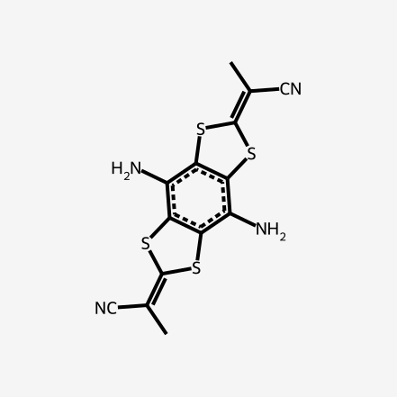 CC(C#N)=C1Sc2c(N)c3c(c(N)c2S1)SC(=C(C)C#N)S3